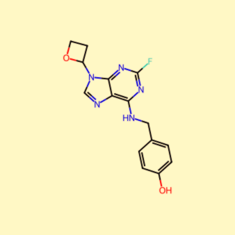 Oc1ccc(CNc2nc(F)nc3c2ncn3C2CCO2)cc1